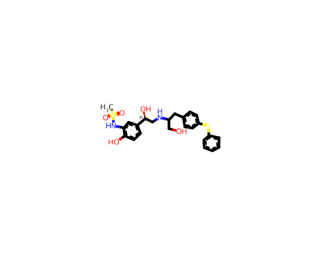 CS(=O)(=O)Nc1cc([C@@H](O)CNC(CO)Cc2ccc(Sc3ccccc3)cc2)ccc1O